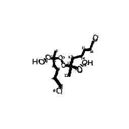 CC(CCCCCl)(OO)OOC(C)(CCCCCl)OO